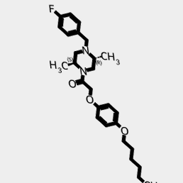 CCCCCCOc1ccc(OCC(=O)N2C[C@@H](C)N(Cc3ccc(F)cc3)C[C@@H]2C)cc1